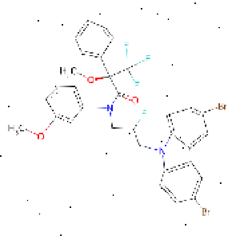 COc1cccc(N(CC(F)Cn2c3ccc(Br)cc3c3cc(Br)ccc32)C(=O)[C@](OC)(c2ccccc2)C(F)(F)F)c1